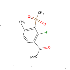 COC(=O)c1ccc(C)c(S(C)(=O)=O)c1F